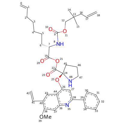 C=CCCCCC[C@H](NC(=O)OCC(C)(C)CC=C)C(=O)OC(=O)[C@]1(Oc2cc(-c3ccccc3)nc3cc(OC)c(C=C)cc23)CCCN1